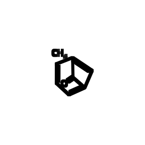 C.O=C1c2cccc1c2